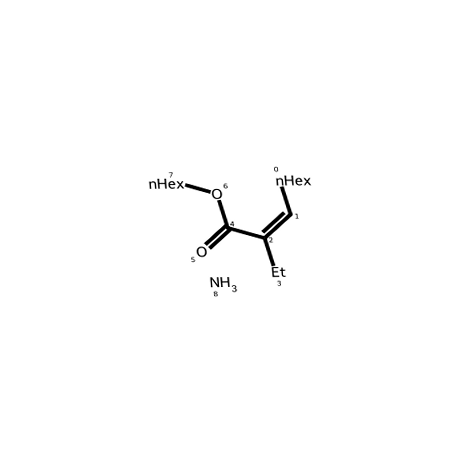 CCCCCCC=C(CC)C(=O)OCCCCCC.N